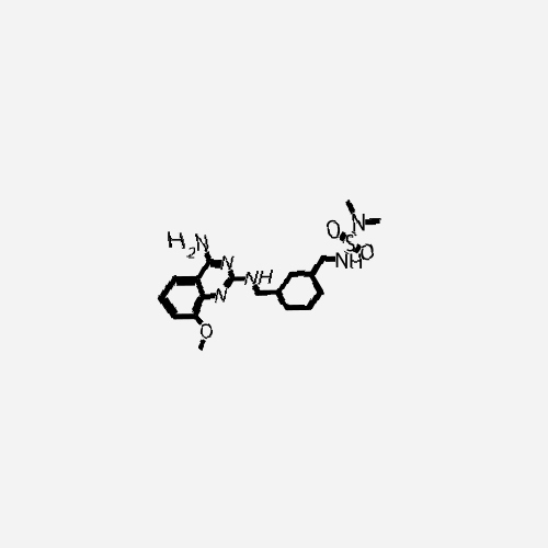 COc1cccc2c(N)nc(NCC3CCCC(CNS(=O)(=O)N(C)C)C3)nc12